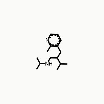 Cc1ncccc1CC(CNC(C)C)C(C)C